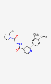 COc1ccc(-c2cc(C(=O)NCC(=O)N3CCCC3C#N)ccn2)cc1OC